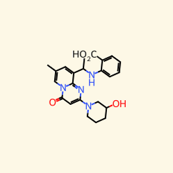 Cc1cc(C(C)Nc2ccccc2C(=O)O)c2nc(N3CCCC(O)C3)cc(=O)n2c1